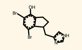 Oc1c(Br)cc(Br)c2c1CCC2Cc1c[nH]cn1